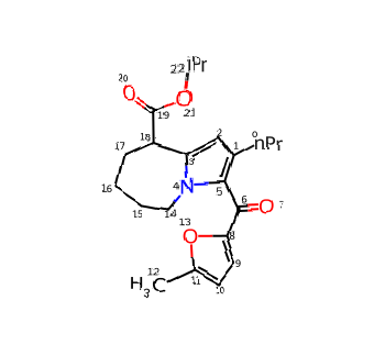 CCCc1cc2n(c1C(=O)c1ccc(C)o1)CCCCC2C(=O)OC(C)C